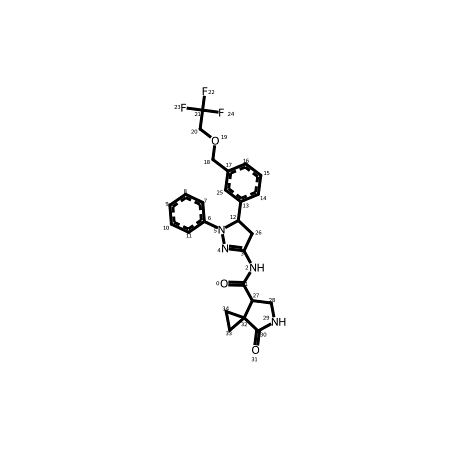 O=C(NC1=NN(c2ccccc2)C(c2cccc(COCC(F)(F)F)c2)C1)C1CNC(=O)C12CC2